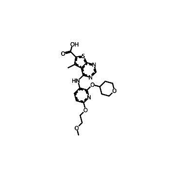 COCCOc1ccc(Nc2ncnc3sc(C(=O)O)c(C)c23)c(OC2CCOCC2)n1